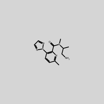 Cc1ccc(-n2nccn2)c(C(=O)N(C)C(C)CN)n1